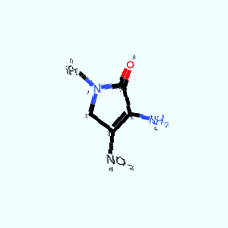 CC(C)N1CC([N+](=O)[O-])=C(N)C1=O